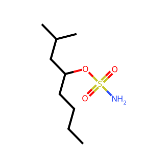 CCCCC(CC(C)C)OS(N)(=O)=O